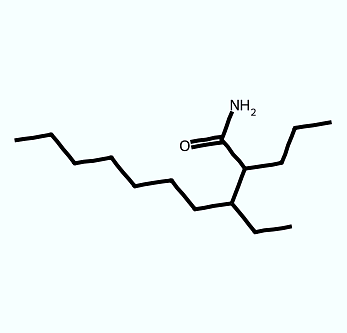 CCCCCCCC(CC)C(CCC)C(N)=O